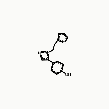 Oc1ccc(-c2cncn2CCc2ccco2)cc1